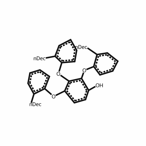 CCCCCCCCCCc1ccccc1Oc1ccc(O)c(Oc2ccccc2CCCCCCCCCC)c1Oc1ccccc1CCCCCCCCCC